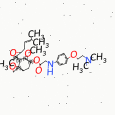 CO[C@@H]1[C@H](OC(=O)CNc2ccc(OCCN(C)C)cc2)CC[C@]2(CO2)[C@H]1[C@@]1(C)OC1CC=C(C)C